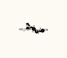 N#Cc1ccc(COc2nc(-c3cc(F)c(Cc4nc5sc(C(=O)O)cc5n4CC4CCO4)cc3F)ccc2F)c(F)c1